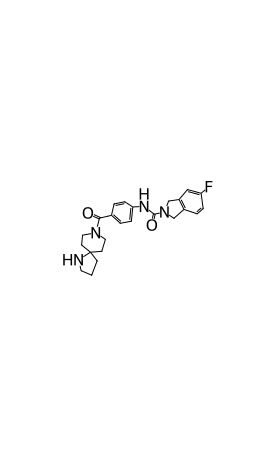 O=C(Nc1ccc(C(=O)N2CCC3(CCCN3)CC2)cc1)N1Cc2ccc(F)cc2C1